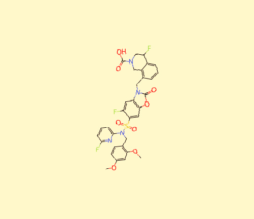 COc1ccc(CN(c2cccc(F)n2)S(=O)(=O)c2cc3oc(=O)n(Cc4cccc5c4CN(C(=O)O)CC5F)c3cc2F)c(OC)c1